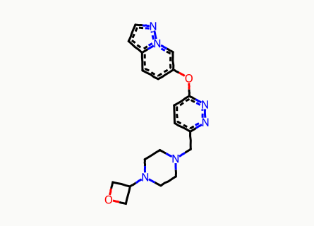 c1cc2ccc(Oc3ccc(CN4CCN(C5COC5)CC4)nn3)cn2n1